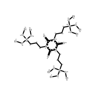 CCO[Si](CCCn1c(=O)n(CCC[Si](OCC)(OCC)OCC)c(=O)n(CCC[Si](OCC)(OCC)OCC)c1=O)(OCC)OCC